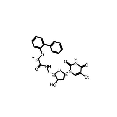 CCc1cn([C@@H]2CC(O)[C@H](CNC(=O)[C@H](C)Oc3ccccc3-c3ccccc3)O2)c(=O)[nH]c1=O